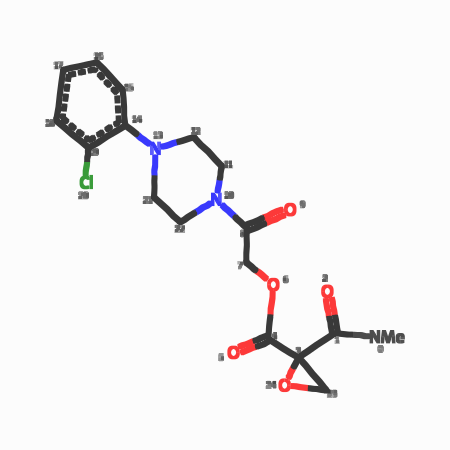 CNC(=O)C1(C(=O)OCC(=O)N2CCN(c3ccccc3Cl)CC2)CO1